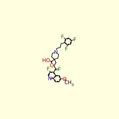 COc1ccc2ncc(F)c([C@H](F)CCC3(C(=O)O)CCN(CCCc4c(F)cc(F)cc4F)CC3)c2c1